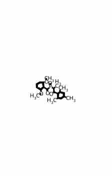 COc1cccc(OC)c1C(=O)[P](=O)C(C)C(=O)c1c(C)cc(C)cc1C